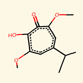 COc1cc(C(C)C)cc(OC)c(=O)c1O